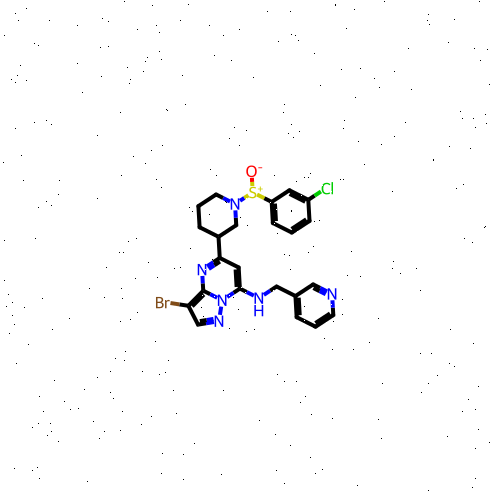 [O-][S+](c1cccc(Cl)c1)N1CCCC(c2cc(NCc3cccnc3)n3ncc(Br)c3n2)C1